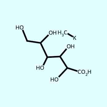 O=C(O)C(O)C(O)C(O)C(O)CO.[CH3][K]